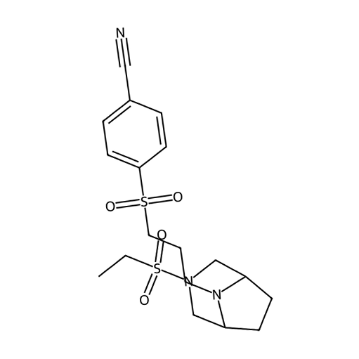 CCS(=O)(=O)N1CC2CCC(C1)N2CCCS(=O)(=O)c1ccc(C#N)cc1